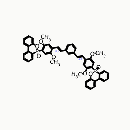 COc1cc(P2(=O)Oc3ccccc3-c3ccccc32)c(OC)cc1/C=C/c1cccc(/C=C/c2cc(OC)c(P3(=O)Oc4ccccc4-c4ccccc43)cc2OC)c1